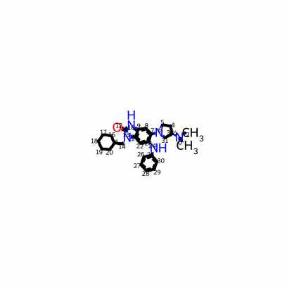 CN(C)[C@@H]1CCN(c2cc3[nH]c(=O)n(CC4CCCCC4)c3cc2Nc2ccccc2)C1